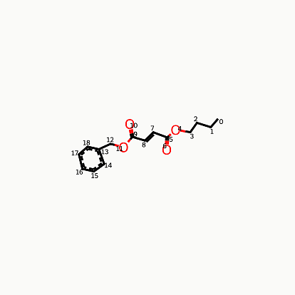 CCCCOC(=O)C=CC(=O)OCc1ccccc1